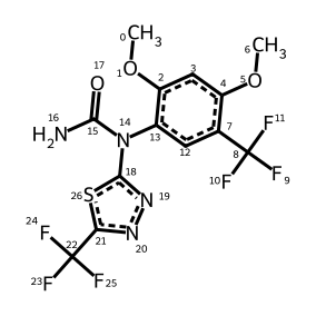 COc1cc(OC)c(C(F)(F)F)cc1N(C(N)=O)c1nnc(C(F)(F)F)s1